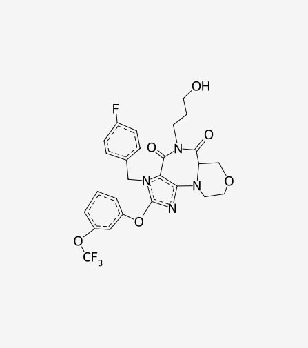 O=C1c2c(nc(Oc3cccc(OC(F)(F)F)c3)n2Cc2ccc(F)cc2)N2CCOCC2C(=O)N1CCCO